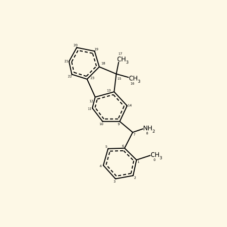 Cc1ccccc1C(N)c1ccc2c(c1)C(C)(C)c1ccccc1-2